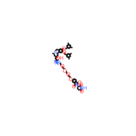 Cc1cc(C)cc(COc2cc3c(cc2OCc2cc(C)cc(C)c2)C2CC(O)(Cc4cn(CCOCCOCCOCCOc5ccc6c(c5)C(=O)N(C5CCC(=O)NC5=O)C6=O)nn4)CC(C)N2CC3)c1